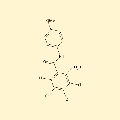 COc1ccc(NC(=O)c2c(Cl)c(Cl)c(Cl)c(Cl)c2C(=O)O)cc1